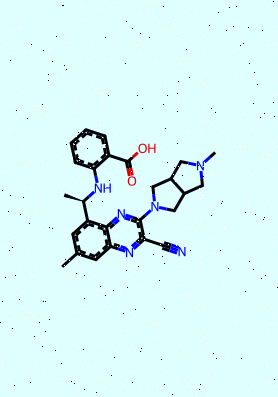 Cc1cc([C@@H](C)Nc2ccccc2C(=O)O)c2nc(N3CC4CN(C)CC4C3)c(C#N)nc2c1